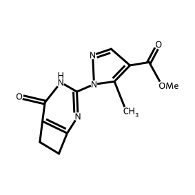 COC(=O)c1cnn(-c2nc3c(c(=O)[nH]2)CC3)c1C